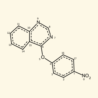 O=[N+]([O-])c1ccc(Oc2ncnc3ccccc23)cc1